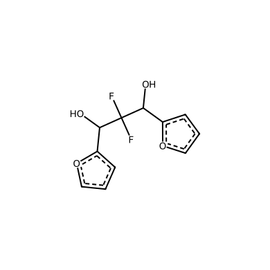 OC(c1ccco1)C(F)(F)C(O)c1ccco1